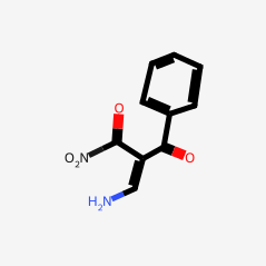 NC=C(C(=O)c1ccccc1)C(=O)[N+](=O)[O-]